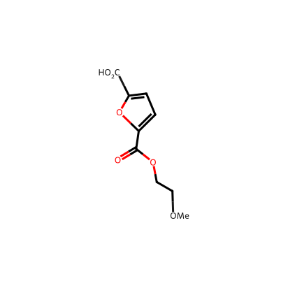 COCCOC(=O)c1ccc(C(=O)O)o1